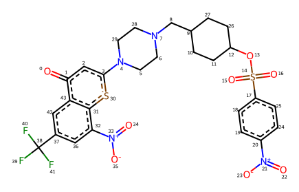 O=c1cc(N2CCN(CC3CCC(OS(=O)(=O)c4ccc([N+](=O)[O-])cc4)CC3)CC2)sc2c([N+](=O)[O-])cc(C(F)(F)F)cc12